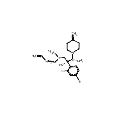 C=C/N=C\N(C)C[C@](O)(c1ccc(F)cc1F)[C@@H](C)N1CCC(=C)CC1